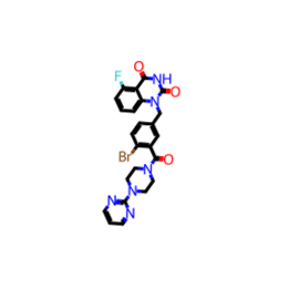 O=C(c1cc(Cn2c(=O)[nH]c(=O)c3c(F)cccc32)ccc1Br)N1CCN(c2ncccn2)CC1